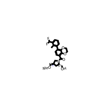 CO/N=C1\C[C@@H](CO)N(C(=O)c2ccc(-c3cccc(C(F)F)c3C)c3c2OCCO3)C1